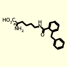 N[C@H](CCCCNC(=O)c1ccccc1Cc1ccccc1)C(=O)O